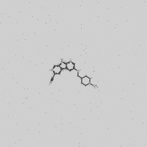 CN1CCC(COc2cnc3[nH]c4cnc(C#N)cc4c3c2)CC1